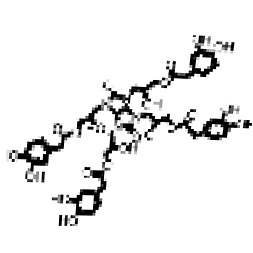 O=C(Cc1ccc(O)c(O)c1)OCC(O)CN1C(=O)N(CC(O)COC(=O)Cc2ccc(O)c(O)c2)C2C1N(CC(O)COC(=O)Cc1ccc(O)c(O)c1)C(=O)N2CC(O)COC(=O)Cc1ccc(O)c(O)c1